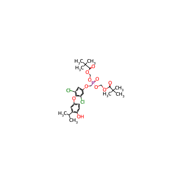 CC(C)c1cc(Oc2c(Cl)cc(OCP(=O)(OCOC(=O)C(C)(C)C)OCOC(=O)C(C)(C)C)cc2Cl)ccc1O